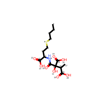 CCCCSCCC(NC(=O)C(O)(C(=O)O)C(C)C(=O)O)C(=O)O